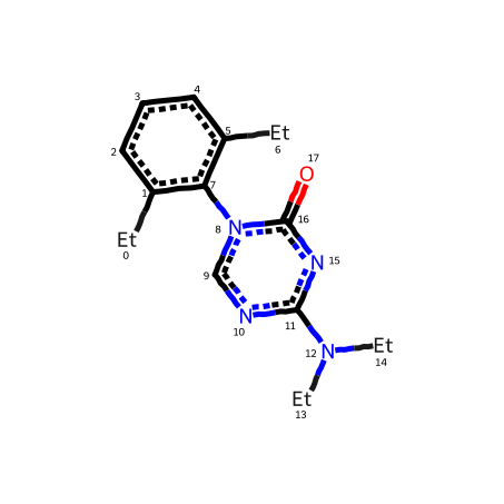 CCc1cccc(CC)c1-n1cnc(N(CC)CC)nc1=O